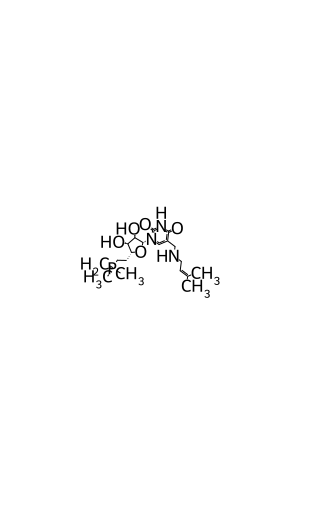 C=P(C)(C)CC[C@H]1O[C@@H](n2cc(CNCC=C(C)C)c(=O)[nH]c2=O)[C@H](O)[C@@H]1O